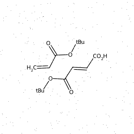 C=CC(=O)OC(C)(C)C.CC(C)(C)OC(=O)/C=C/C(=O)O